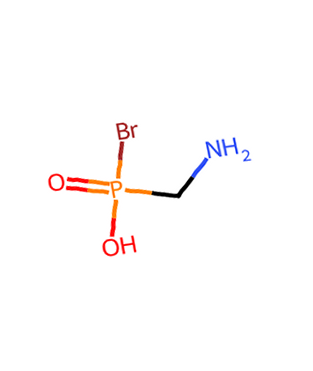 NCP(=O)(O)Br